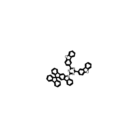 c1ccc2c(c1)-c1ccccc1C21c2ccccc2-c2cc3c(cc21)c1ccccc1n3-c1nc(-c2ccc3oc4ccccc4c3c2)nc(-c2ccc3oc4ccccc4c3c2)n1